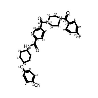 N#Cc1ccc(O[C@H]2CC[C@H](NC(=O)c3ccc(C(=O)N4CCN(C(=O)c5ccc(F)cc5)CC4)cn3)CC2)cc1